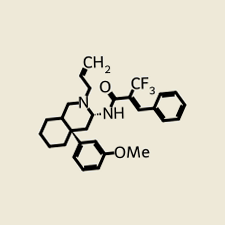 C=CCN1CC2CCCC[C@@]2(c2cccc(OC)c2)C[C@H]1NC(=O)C(=Cc1ccccc1)C(F)(F)F